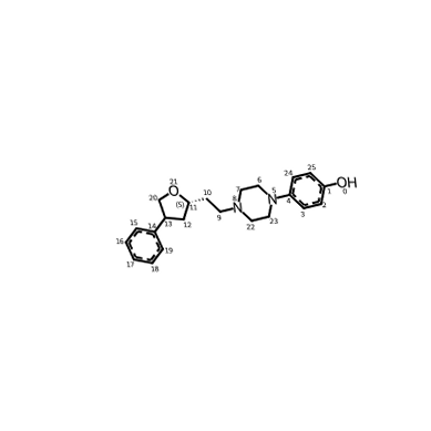 Oc1ccc(N2CCN(CC[C@@H]3CC(c4ccccc4)CO3)CC2)cc1